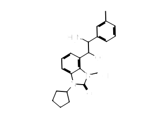 Cc1cccc(C(N)C(O)c2cccc3c2n(C)c(=O)n3C2CCCC2)c1.Cl